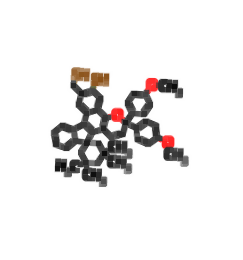 COc1ccc(C2(c3ccc(OC)cc3)C=Cc3c4c(c5cc(CS)c(S)cc5c3O2)-c2ccccc2C42CC(C)(C)CC(C)(C)C2)cc1